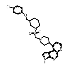 O=S(=O)(CN1CCC(c2ccnc3cnc4[nH]ccc4c23)CC1)N1CCCC(COc2ccc(Cl)cc2)C1